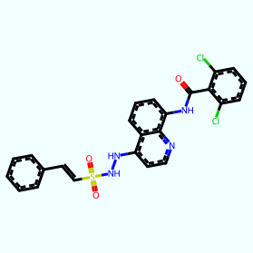 O=C(Nc1cccc2c(NNS(=O)(=O)C=Cc3ccccc3)ccnc12)c1c(Cl)cccc1Cl